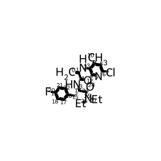 C=C(Nc1cnc(Cl)cc1C)C(=O)N[C@@H](Cc1ccc(F)cc1)C(=O)N(CC)CC